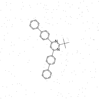 CC(C)(C)c1nc(-c2ccc(-c3ccccc3)cc2)cc(-c2ccc(-c3ccccc3)cc2)n1